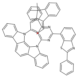 CC1(C)c2ccccc2-c2ccc(-n3c4ccccc4c4ccc5c6ccccc6n(-c6nc(-c7ccccc7)nc(-c7cccc8nc(-c9ccccc9)sc78)n6)c5c43)cc21